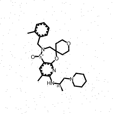 Cc1ccccc1CN1CC2(CCOCC2)Oc2nc(N[C@H](C)CN3CCCCC3)c(C)cc2[S+]1[O-]